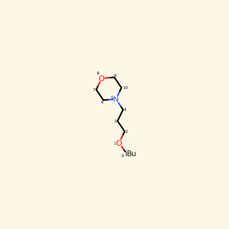 CCC(C)OCCCN1CCOCC1